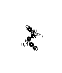 COc1ccc(NS(=O)(=O)c2cc(-c3ccc4nc(N)n(-c5ccc(N6CCOCC6)cc5)c4c3)cnc2OC)cc1